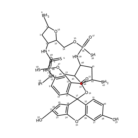 BC1CC(NC(=S)Nc2ccc3c(c2)C(=O)OC32c3ccc(O)cc3Oc3cc(O)ccc32)C(COP(=O)(S)NC2CC(B)OC2COP(=O)(S)NC(C)C)O1